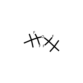 CC(C)(C)C(F)(F)OC(F)(F)C(C)(C)C